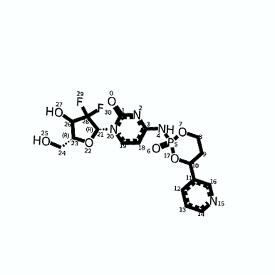 O=c1nc(NP2(=O)OCCC(c3cccnc3)O2)ccn1[C@@H]1O[C@H](CO)C(O)C1(F)F